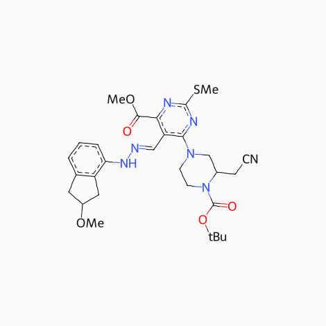 COC(=O)c1nc(SC)nc(N2CCN(C(=O)OC(C)(C)C)C(CC#N)C2)c1/C=N/Nc1cccc2c1CC(OC)C2